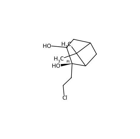 CC1(C)C2CC(O)[C@@](O)(CCCl)C1C2